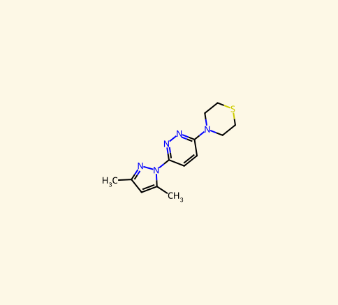 Cc1cc(C)n(-c2ccc(N3CCSCC3)nn2)n1